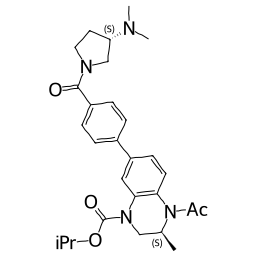 CC(=O)N1c2ccc(-c3ccc(C(=O)N4CC[C@H](N(C)C)C4)cc3)cc2N(C(=O)OC(C)C)C[C@@H]1C